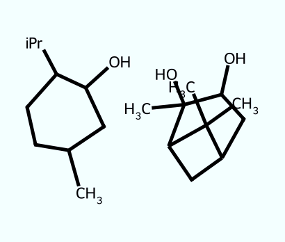 CC1(C)C2CC(O)C(C)(O)C1C2.CC1CCC(C(C)C)C(O)C1